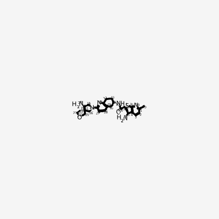 Cc1ccc2c(N)c(C(=O)N[C@H]3CCc4nc(N5C[C@H](N)[C@@]6(CCOC6)C5)ccc4C3)sc2n1